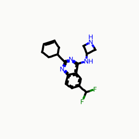 FC(F)c1ccc2nc(C3CC=CCC3)nc(NC3CNC3)c2c1